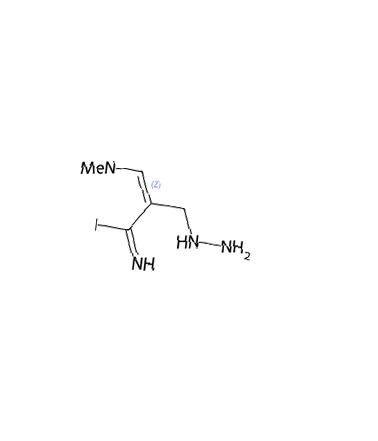 CN/C=C(/CNN)C(=N)I